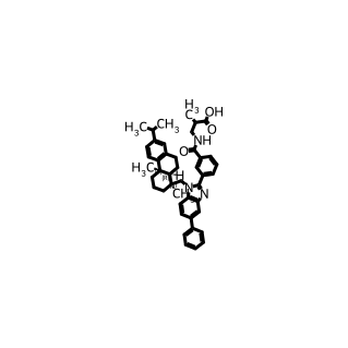 CC(CNC(=O)c1cccc(-c2nc3cc(-c4ccccc4)ccc3n2C[C@@]2(C)CCC[C@]3(C)c4ccc(C(C)C)cc4CC[C@@H]23)c1)C(=O)O